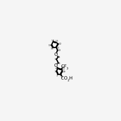 O=C(O)c1ccc(OCCCOCc2ccccc2)c(C(F)(F)F)c1